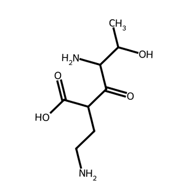 CC(O)C(N)C(=O)C(CCN)C(=O)O